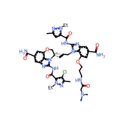 CCn1nc(C)cc1C(=O)Nc1nc2cc(C(N)=O)cc(OCCCNC(=O)CN(C)C)c2n1C/C=C/[C@H]1COc2cc(C(N)=O)cc3nc(NC(=O)c4c(Cl)c(C)nn4CC)n1c23